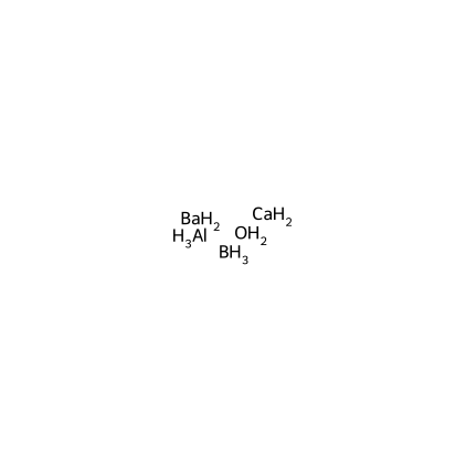 B.O.[AlH3].[BaH2].[CaH2]